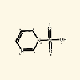 O=S(=O)(O)N1C=NC=CC1